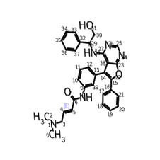 CN(C)C/C=C/C(=O)Nc1cccc(-c2c(-c3ccccc3)oc3ncnc(N[C@H](CO)c4ccccc4)c23)c1